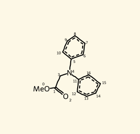 COC(=O)CN(c1ccccc1)c1ccccc1